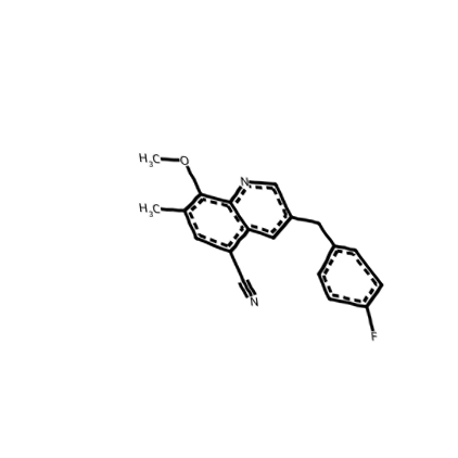 COc1c(C)cc(C#N)c2cc(Cc3ccc(F)cc3)cnc12